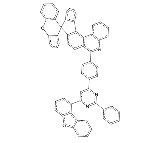 c1ccc(-c2nc(-c3ccc(-c4nc5ccccc5c5c6c(ccc45)C4(c5ccccc5Oc5ccccc54)c4ccccc4-6)cc3)cc(-c3cccc4oc5ccccc5c34)n2)cc1